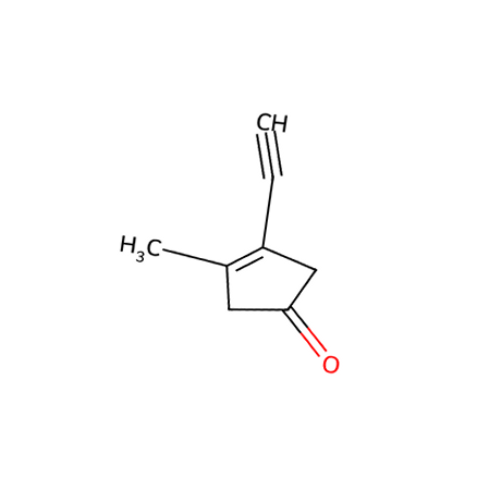 C#CC1=C(C)CC(=O)C1